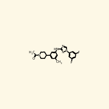 CC(=O)N1CCC(c2cc(C)cc(Nc3ncn(-c4cc(F)cc(F)c4)n3)c2)CC1